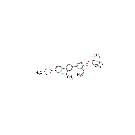 CCc1cc(-c2ccc(-c3ccc(C4CCC(C)CC4)cc3F)c(CC)c2)ccc1OCC(CC)(CC)CC